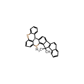 CC1(C)c2c(ccc3c2Sc2cccc4c2B3c2ccccc2S4)-c2ccc3ccccc3c21